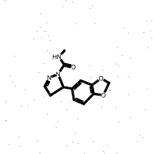 CNC(=O)N1N=CCC1c1ccc2c(c1)OCO2